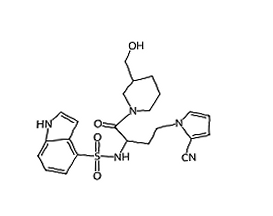 N#Cc1cccn1CCC(NS(=O)(=O)c1cccc2[nH]ccc12)C(=O)N1CCCC(CO)C1